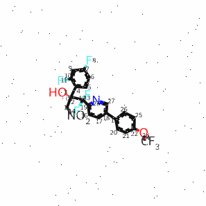 O=[N+]([O-])C[C@@](O)(c1ccc(F)cc1F)C(F)(F)c1ccc(-c2ccc(OC(F)(F)F)cc2)cn1